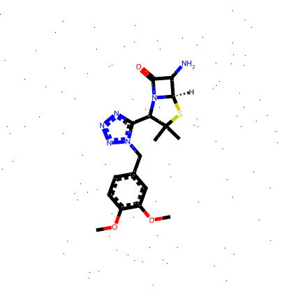 COc1ccc(Cn2nnnc2C2N3C(=O)C(N)[C@H]3SC2(C)C)cc1OC